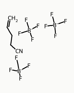 C=CCCC#N.F[B-](F)(F)F.F[B-](F)(F)F.F[B-](F)(F)F